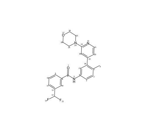 Cc1ccc(NC(=O)c2cccc(C(F)F)c2)cc1-c1ccnc(N2CCOCC2)c1